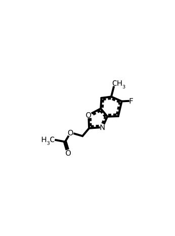 CC(=O)OCc1nc2cc(F)c(C)cc2o1